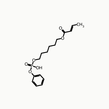 CC=CC(=O)OCCCCCCOP(=O)(O)Oc1ccccc1